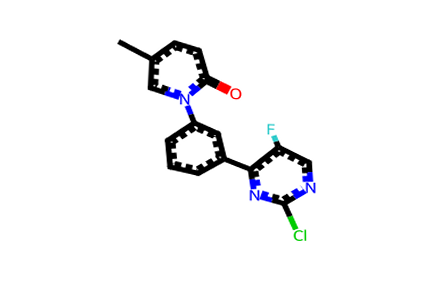 Cc1ccc(=O)n(-c2cccc(-c3nc(Cl)ncc3F)c2)c1